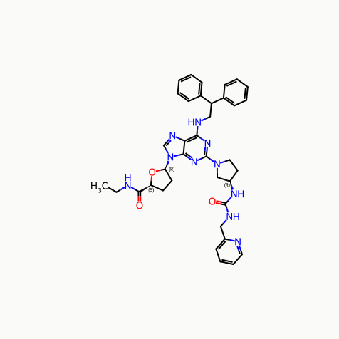 CCNC(=O)[C@@H]1CC[C@H](n2cnc3c(NCC(c4ccccc4)c4ccccc4)nc(N4CC[C@@H](NC(=O)NCc5ccccn5)C4)nc32)O1